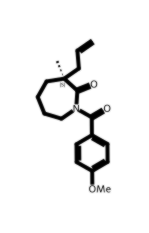 C=CC[C@]1(C)CCCCN(C(=O)c2ccc(OC)cc2)C1=O